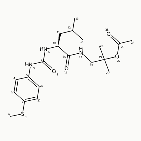 CSc1ccc(NC(=O)N[C@@H](CC(C)C)C(=O)NCC(C)(C)OC(C)=O)cc1